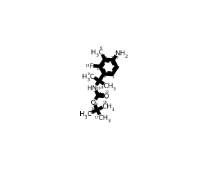 Cc1c(N)ccc(C(C)(C)NC(=O)OC(C)(C)C)c1F